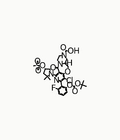 CC(C)(C)OC(=O)Oc1cccc(F)c1-c1nc(N2CC(OS(C)(=O)=O)CC2(C)C)c2c(c1Cl)OC[C@H]1CN(C(=O)O)CCN1C2=O